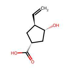 C=C[C@@H]1C[C@@H](C(=O)O)C[C@H]1O